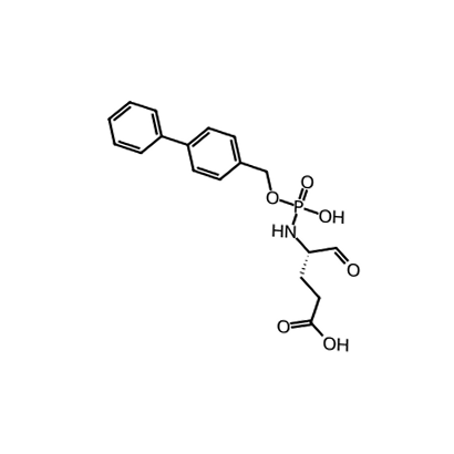 O=C[C@H](CCC(=O)O)NP(=O)(O)OCc1ccc(-c2ccccc2)cc1